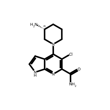 NC(=O)c1nc2[nH]c[c]c2c(N2CCC[C@@H](N)C2)c1Cl